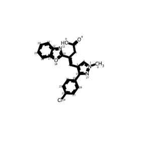 Cn1cc(/C=C(\CC(=O)O)c2nc3ccccc3o2)c(-c2ccc(Cl)cc2)n1